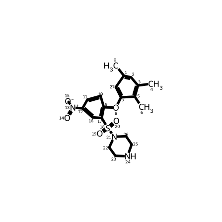 Cc1cc(C)c(C)c(Oc2ccc([N+](=O)[O-])cc2S(=O)(=O)N2CCNCC2)c1